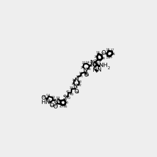 Nc1ncnc2c1c(-c1ccc(Oc3ccccc3)cc1)nn2C1CCCN(C(=O)CCCN2CCN(C(=O)CCCCSc3cccc4c3CN(C3CCC(=O)NC3=O)C4=O)CC2)C1